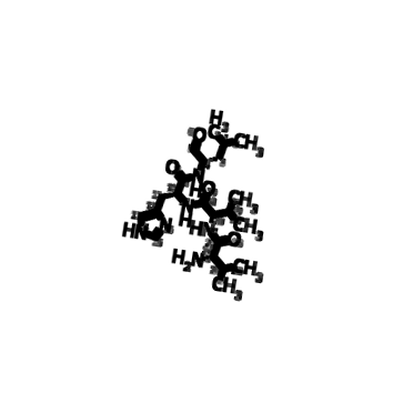 CC(C)C[C@@H]([C]=O)NC(=O)[C@H](Cc1c[nH]cn1)NC(=O)[C@@H](NC(=O)[C@@H](N)C(C)C)C(C)C